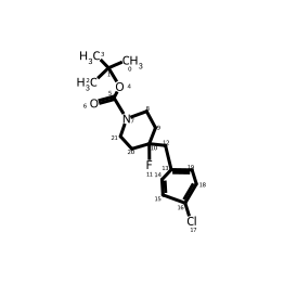 CC(C)(C)OC(=O)N1CCC(F)(Cc2ccc(Cl)cc2)CC1